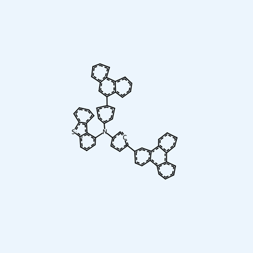 c1ccc2c(c1)cc(-c1ccc(N(c3ccc(-c4ccc5c6ccccc6c6ccccc6c5c4)cc3)c3cccc4sc5ccccc5c34)cc1)c1ccccc12